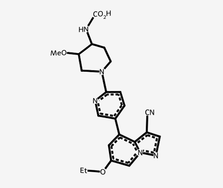 CCOc1cc(-c2ccc(N3CCC(NC(=O)O)C(OC)C3)nc2)c2c(C#N)cnn2c1